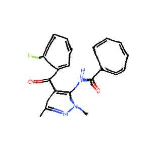 Cc1nn(C)c(NC(=O)c2ccccc2)c1C(=O)c1ccccc1F